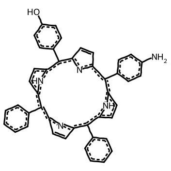 Nc1ccc(-c2c3nc(c(-c4ccc(O)cc4)c4ccc([nH]4)c(-c4ccccc4)c4nc(c(-c5ccccc5)c5ccc2[nH]5)C=C4)C=C3)cc1